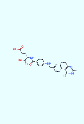 Cc1nc2ccc3cc(CNc4ccc(C(=O)N[C@@H](CCC(=O)O)C(=O)O)cc4)ccc3c2c(=O)[nH]1